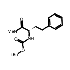 CNC(=O)[C@H](CCc1ccccc1)NC(=O)OC(C)(C)C